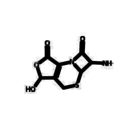 [NH]C1C(=O)N2C3=C(CSC12)C(O)OC3=O